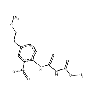 COCOc1ccc(NC(=S)NC(=O)OC)c([N+](=O)[O-])c1